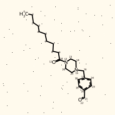 CCCCCCCCCCC(=O)N1CCN(Cc2ccc(C=O)cc2)CC1